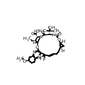 CC[C@@H]1[C@@H]2CN(C(=O)[C@H](C(C)(C)C)NC(=O)O[C@@H]3C[C@H]3CC/C=C/C(F)(F)c3nc4ccc(OC)cc4nc3O2)[C@@H]1C(=O)O